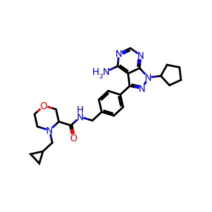 Nc1ncnc2c1c(-c1ccc(CNC(=O)C3COCCN3CC3CC3)cc1)nn2C1CCCC1